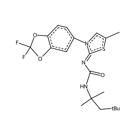 Cc1cn(-c2ccc3c(c2)OC(F)(F)O3)/c(=N/C(=O)NC(C)(C)CC(C)(C)C)s1